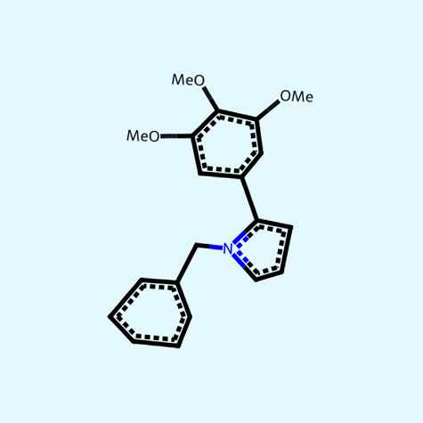 COc1cc(-c2cccn2Cc2ccccc2)cc(OC)c1OC